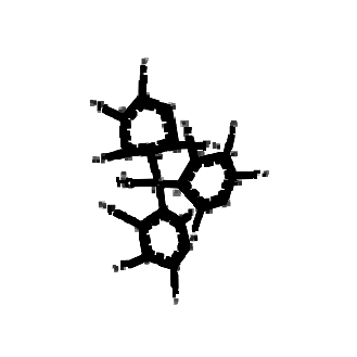 O[Si](c1c(F)cc(F)c(F)c1F)(c1c(F)cc(F)c(F)c1F)c1c(F)cc(F)c(F)c1F